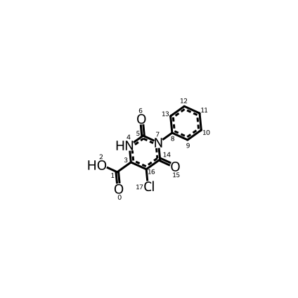 O=C(O)c1[nH]c(=O)n(-c2ccccc2)c(=O)c1Cl